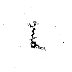 CCN(CC)CCCCNCc1cc(CNC)ccn1